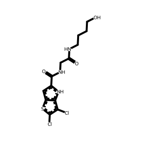 O=C(CNC(=O)c1cc2sc(Cl)c(Cl)c2[nH]1)NCCCCO